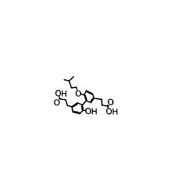 CC(C)CCOc1ccc(CCC(=O)O)cc1-c1cc(CCC(=O)O)ccc1O